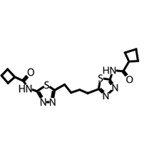 O=C(Nc1nnc(CCCCc2nnc(NC(=O)C3CCC3)s2)s1)C1CCC1